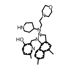 Cc1ccc2c3c(cc(C)c2c1)CN(N(CCN1CCOCC1)C1CCNCC1)N3Cc1nc(C)ccc1O